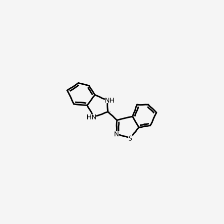 c1ccc2c(c1)N[C](c1nsc3ccccc13)N2